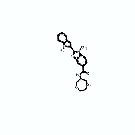 CCn1c(-c2nc3cc(C(=O)NC4CNCCOC4)ccc3n2C)cc2ccccc21